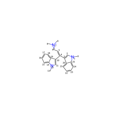 Cn1cc(C(=CC=[N+](C)C)c2cn(C)c3ccccc23)c2ccccc21